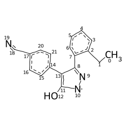 CCc1ccccc1C1=N[N]C(O)=C1c1ccc(C#N)cc1